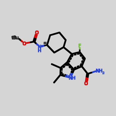 Cc1[nH]c2c(C(N)=O)cc(F)c(C3CCC[C@H](NC(=O)OC(C)(C)C)C3)c2c1C